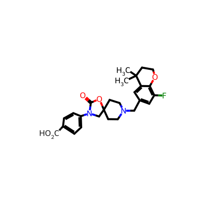 CC1(C)CCOc2c(F)cc(CN3CCC4(CC3)CN(c3ccc(C(=O)O)cc3)C(=O)O4)cc21